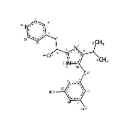 CC(C)c1nc(C(O)Cc2ccncc2)[nH]c1Sc1cc(F)cc(F)c1